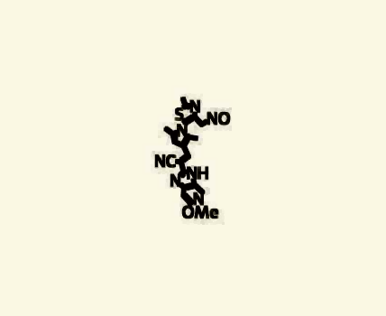 COc1cc2nc(/C(C#N)=C/c3cc(C)n(-c4sc(C)nc4CN=O)c3C)[nH]c2cn1